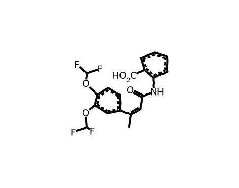 CC(=CC(=O)Nc1ccccc1C(=O)O)c1ccc(OC(F)F)c(OC(F)F)c1